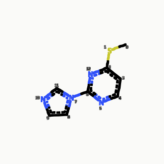 CSc1ccnc(-n2ccnc2)n1